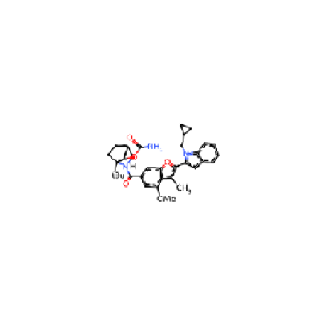 COc1cc(C(=O)N2CC3CCC2(C(C)(C)C)[C@@H]3OC(N)=O)cc2oc(-c3cc4ccccc4n3CC3CC3)c(C)c12